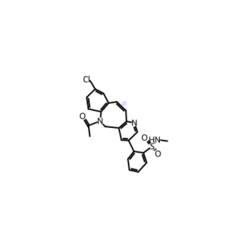 CNS(=O)(=O)c1ccccc1-c1cnc2c(c1)CN(C(C)=O)c1ccc(Cl)cc1/C=C\2